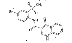 CS(=O)(=O)c1cc(Br)ccc1NC(=O)c1c[nH]c2ccccc2c1=O